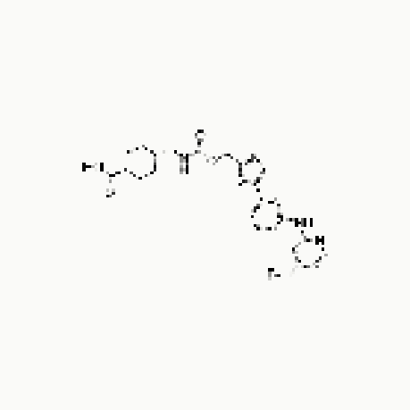 O=C(NC[C@H]1CC[C@H](C(=O)O)CC1)OCc1ncc(-c2cccc(Nc3cc(CF)ccn3)n2)s1